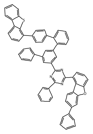 c1ccc(-c2cc(-c3nc(-c4ccccc4)nc(-c4cccc5oc6cc(-c7ccccc7)ccc6c45)n3)cc(-c3ccccc3-c3ccc(-c4cccc5c4sc4ccccc45)cc3)c2)cc1